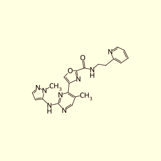 Cc1cnc(Nc2ccnn2C)nc1-c1coc(C(=O)NCCc2ccccn2)n1